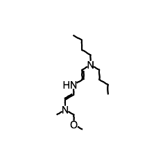 CCCCN(C=CNC=CN(C)COC)CCCC